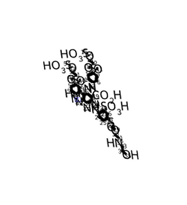 Nc1c(N=Nc2ccc(S(=O)(=O)CCOS(=O)(=O)O)cc2)c(C(=O)O)c(N=Nc2ccc(SOOCCNCCO)cc2S(=O)(=O)O)c(N)c1/N=N\c1ccc(S(=O)(=O)CCOS(=O)(=O)O)cc1